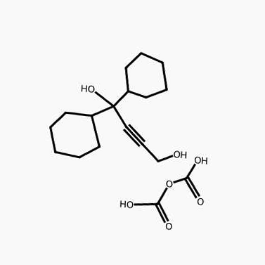 O=C(O)OC(=O)O.OCC#CC(O)(C1CCCCC1)C1CCCCC1